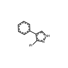 CC(C)c1n[nH]cc1-c1ccccc1